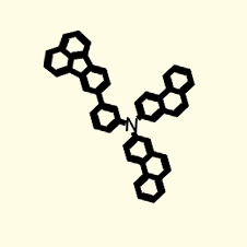 c1cc(-c2ccc3c(c2)-c2cccc4cccc-3c24)cc(N(c2ccc3c(ccc4ccccc43)c2)c2ccc3c(ccc4ccccc43)c2)c1